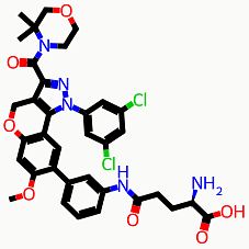 COc1cc2c(cc1-c1cccc(NC(=O)CC[C@@H](N)C(=O)O)c1)-c1c(c(C(=O)N3CCOCC3(C)C)nn1-c1cc(Cl)cc(Cl)c1)CO2